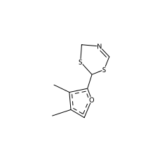 Cc1coc(C2SC=NCS2)c1C